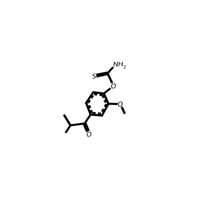 COc1cc(C(=O)C(C)C)ccc1OC(N)=S